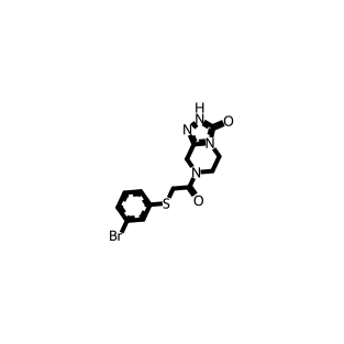 O=C(CSc1cccc(Br)c1)N1CCn2c(n[nH]c2=O)C1